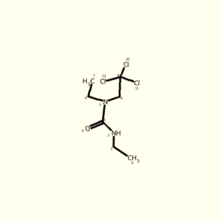 CCNC(=O)N(CC)CC(Cl)(Cl)Cl